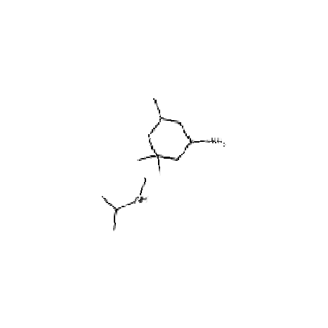 CC1CC(N)CC(C)(C)C1.CNC(C)C